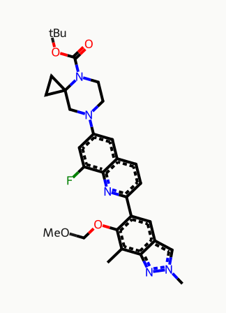 COCOc1c(-c2ccc3cc(N4CCN(C(=O)OC(C)(C)C)C5(CC5)C4)cc(F)c3n2)cc2cn(C)nc2c1C